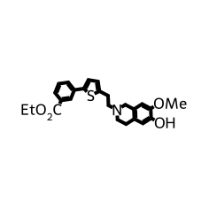 CCOC(=O)c1cccc(-c2ccc(CCN3CCc4cc(O)c(OC)cc4C3)s2)c1